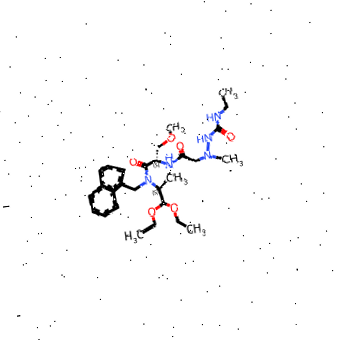 CCNC(=O)NN(C)CC(=O)N[C@@H](COC)C(=O)N(Cc1cccc2ccccc12)[C@@H](C)C(OCC)OCC